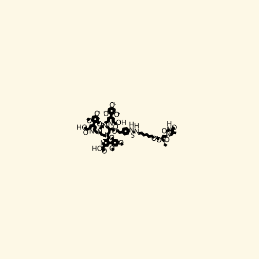 CC[C@H]1O[C@@H](n2cc(C)c(=O)[nH]c2=O)CC1OCOCCCCCCNC(=S)Nc1ccc(CCOCC2CN(Cc3cc(-c4c(OC)cc(OC)cc4OC)cc(C(=O)O)n3)CCN(Cc3cc(-c4c(OC)cc(OC)cc4OC)cc(C(=O)O)n3)CCN(Cc3cnc(C(=O)O)cc3-c3c(OC)cc(OC)cc3OC)C2)cc1